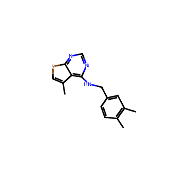 Cc1ccc(CNc2ncnc3scc(C)c23)cc1C